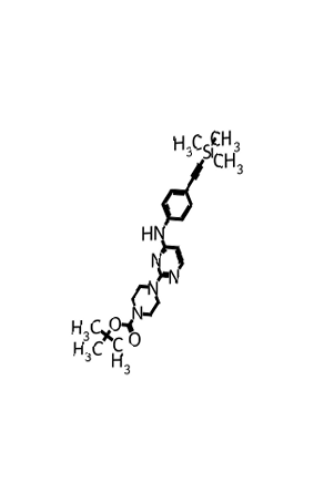 CC(C)(C)OC(=O)N1CCN(c2nccc(Nc3ccc(C#C[Si](C)(C)C)cc3)n2)CC1